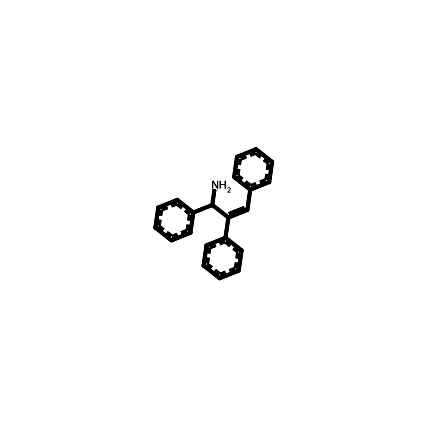 N[C](C(=Cc1ccccc1)c1ccccc1)c1ccccc1